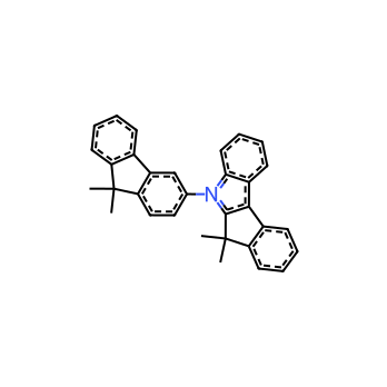 CC1(C)c2ccccc2-c2cc(-n3c4c(c5ccccc53)-c3ccccc3C4(C)C)ccc21